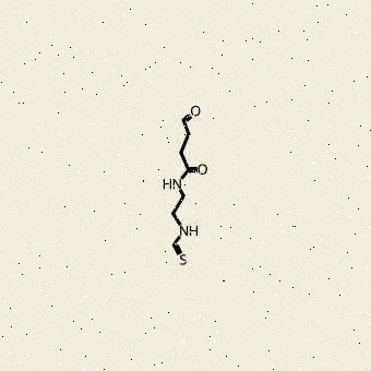 O=CCCC(=O)NCCNC=S